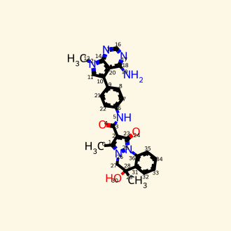 Cc1c(C(=O)Nc2ccc(-c3cn(C)c4ncnc(N)c34)cc2)c(=O)n2n1CC(C)(O)c1ccccc1-2